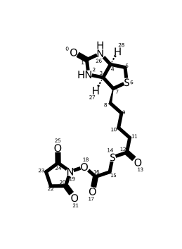 O=C1N[C@H]2[C@H](CS[C@H]2CCCCC(=O)SCC(=O)ON2C(=O)CCC2=O)N1